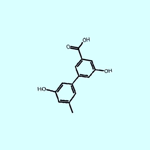 Cc1cc(O)cc(-c2cc(O)cc(C(=O)O)c2)c1